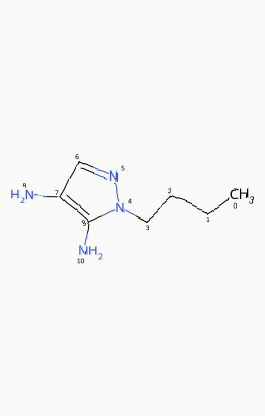 CCCCn1ncc(N)c1N